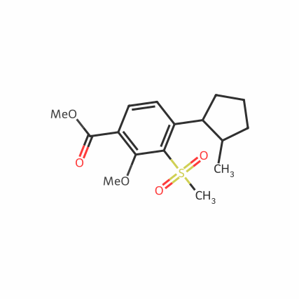 COC(=O)c1ccc(C2CCCC2C)c(S(C)(=O)=O)c1OC